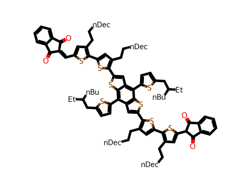 CCCCCCCCCCCCc1cc(C=C2C(=O)c3ccccc3C2=O)sc1-c1cc(CCCCCCCCCCCC)c(-c2cc3c(-c4ccc(CC(CC)CCCC)s4)c4sc(-c5sc(-c6sc(C7C(=O)c8ccccc8C7=O)cc6CCCCCCCCCCCC)cc5CCCCCCCCCCCC)cc4c(-c4ccc(CC(CC)CCCC)s4)c3s2)s1